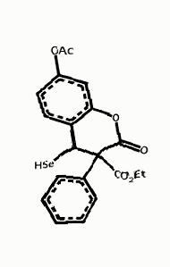 CCOC(=O)C1(c2ccccc2)C(=O)Oc2cc(OC(C)=O)ccc2C1[SeH]